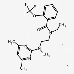 CCN(CCN(C)c1nc(C)cc(C)n1)C(=O)c1ccccc1OC(F)(F)F